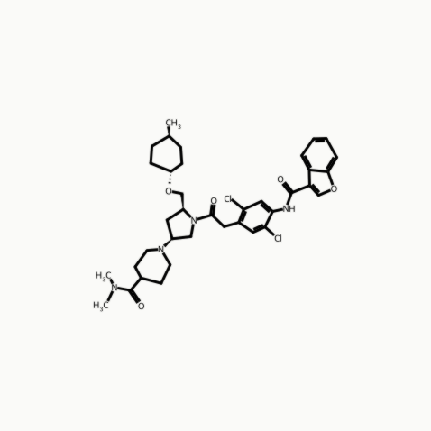 CN(C)C(=O)C1CCN([C@H]2C[C@@H](CO[C@H]3CC[C@H](C)CC3)N(C(=O)Cc3cc(Cl)c(NC(=O)c4coc5ccccc45)cc3Cl)C2)CC1